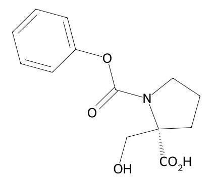 O=C(Oc1ccccc1)N1CCC[C@]1(CO)C(=O)O